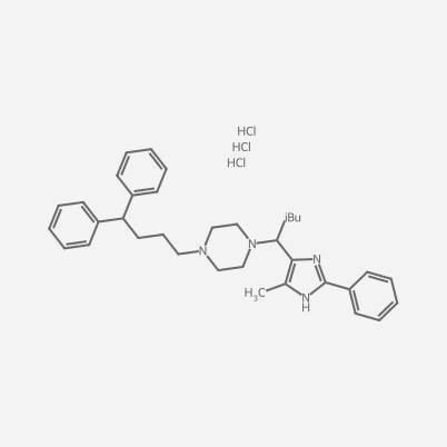 CCC(C)C(c1nc(-c2ccccc2)[nH]c1C)N1CCN(CCCC(c2ccccc2)c2ccccc2)CC1.Cl.Cl.Cl